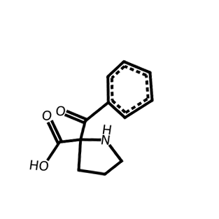 O=C(O)C1(C(=O)c2ccccc2)CCCN1